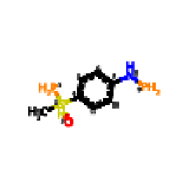 C[SH](=O)(P)c1ccc(NP)cc1